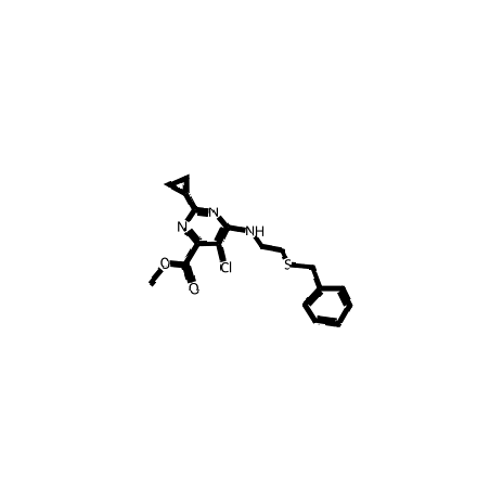 COC(=O)c1nc(C2CC2)nc(NCCSCc2ccccc2)c1Cl